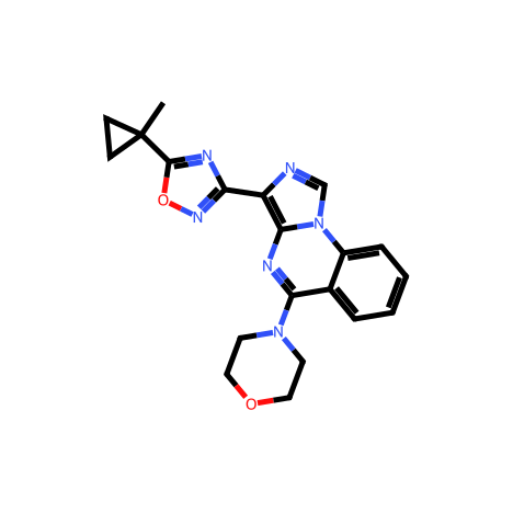 CC1(c2nc(-c3ncn4c3nc(N3CCOCC3)c3ccccc34)no2)CC1